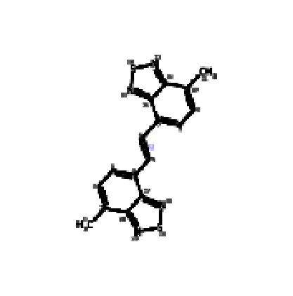 Cc1ccc(/C=C/c2ccc(C)c3nsnc23)c2nsnc12